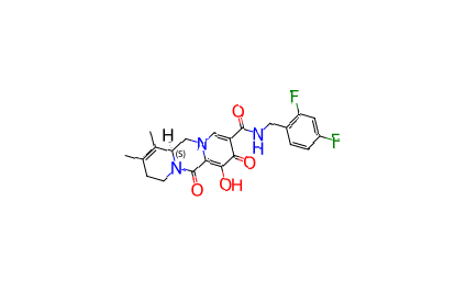 CC1=C(C)[C@H]2Cn3cc(C(=O)NCc4ccc(F)cc4F)c(=O)c(O)c3C(=O)N2CC1